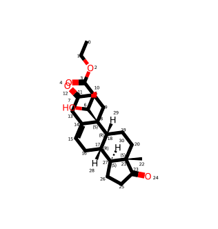 CCOC(=O)CC(O)[C@]12CCC(=O)CC1=CC[C@@H]1[C@H]2CC[C@]2(C)C(=O)CC[C@@H]12